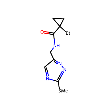 CCC1(C(=O)NCc2cnc(SC)nn2)CC1